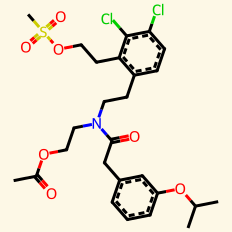 CC(=O)OCCN(CCc1ccc(Cl)c(Cl)c1CCOS(C)(=O)=O)C(=O)Cc1cccc(OC(C)C)c1